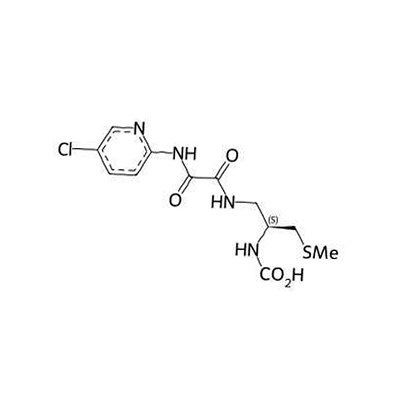 CSC[C@H](CNC(=O)C(=O)Nc1ccc(Cl)cn1)NC(=O)O